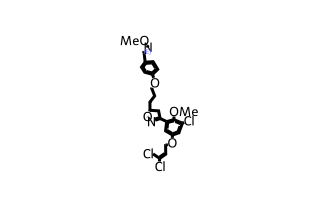 CO/N=C/c1ccc(OCCCC2CC(c3cc(OCC=C(Cl)Cl)cc(Cl)c3OC)=NO2)cc1